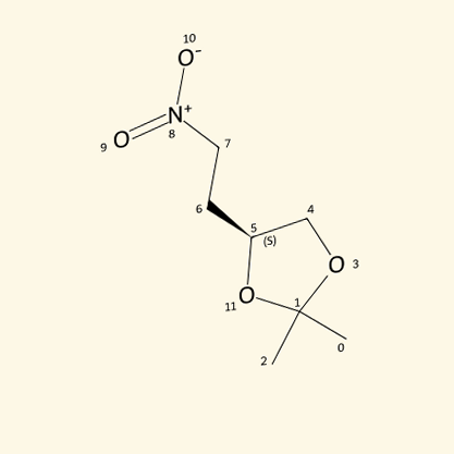 CC1(C)OC[C@H](CC[N+](=O)[O-])O1